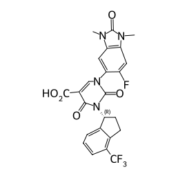 Cn1c(=O)n(C)c2cc(-n3cc(C(=O)O)c(=O)n([C@@H]4CCc5c4cccc5C(F)(F)F)c3=O)c(F)cc21